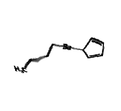 CCC[CH2][Ba][CH]1C=CC=C1